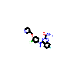 NC(=O)c1nc(Nc2ccc(OCc3cccnc3)c(Cl)c2)c2c[c]c(F)cc2n1